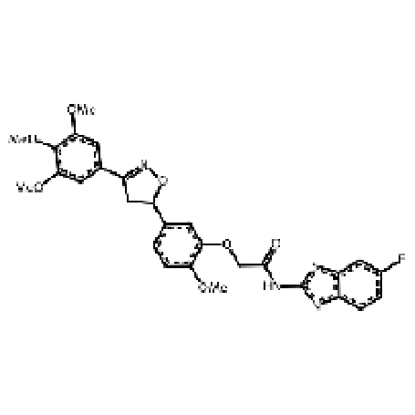 COc1ccc(C2CC(c3cc(OC)c(OC)c(OC)c3)=NO2)cc1OCC(=O)Nc1nc2ccc(F)cc2s1